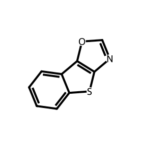 c1ccc2c(c1)sc1ncoc12